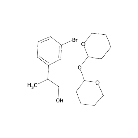 C1CCC(OC2CCCCO2)OC1.CC(CO)c1cccc(Br)c1